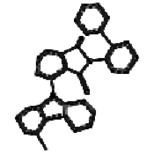 Cc1cccc2c1c1ccccc1n2-c1cccc2c1C(=O)N(c1ccccc1-c1ccccc1)C2=O